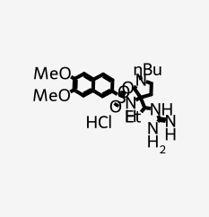 CCCCN1CCC(NS(=O)(=O)c2ccc3cc(OC)c(OC)cc3c2)(C(CC)NC(=N)N)C1=O.Cl